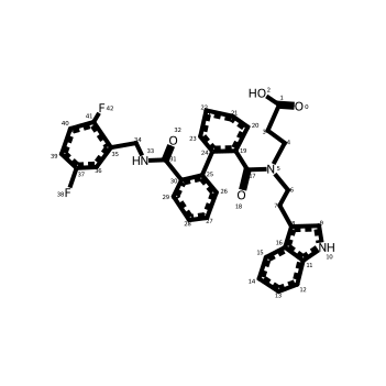 O=C(O)CCN(CCc1c[nH]c2ccccc12)C(=O)c1ccccc1-c1ccccc1C(=O)NCc1cc(F)ccc1F